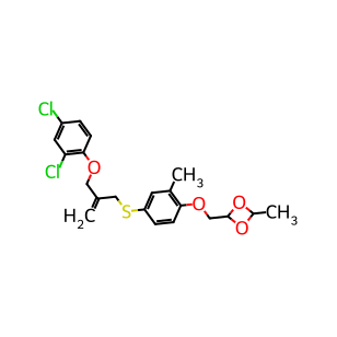 C=C(COc1ccc(Cl)cc1Cl)CSc1ccc(OCC2OC(C)O2)c(C)c1